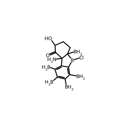 Bc1c(B)c(B)c2c(c1B)B(Cl)C1(B)CCC(O)C(=O)C21N